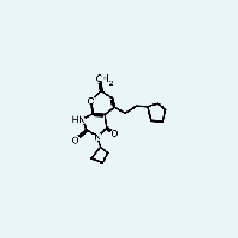 C=C1C=C(CCC2CCCC2)c2c([nH]c(=O)n(C3CCC3)c2=O)O1